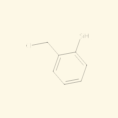 [SiH3]c1ccccc1CCl